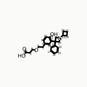 O=C(O)CCOCCc1ccc(O)c(C2(c3ccccc3)CN(C3CCC3)C2)c1